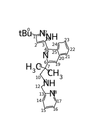 CC(C)(C)c1cc(-c2nc(C(C)(C)CNCc3ccccn3)cc3ccccc23)[nH]n1